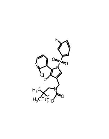 CC(C)(C)CN(Cc1cn(S(=O)(=O)c2cccc(F)c2)c(-c2cccnc2Cl)c1F)C(=O)O